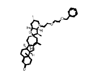 CC1=C2C[C@H]3[C@@H](CCC4=CC(=O)CCC43C)[C@@H]2CC[C@@]2(C1)O[C@@H]1C[C@H](C)CN(CCOCCOCc3ccccc3)[C@H]1[C@H]2C